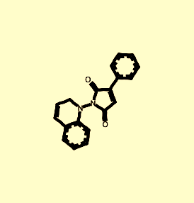 O=C1C=C(c2ccccc2)C(=O)N1N1CC=Cc2ccccc21